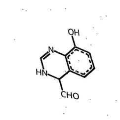 O=CC1NC=Nc2c(O)cccc21